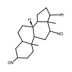 CC(C)C1CCC2[C@H]3CCC4CC(N=O)CCC4(C)C3CC(N=O)C12C